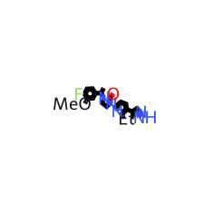 CCc1nc(N2CCN(C(C)c3ccc(F)c(OC)c3)C2=O)ccc1-c1cn[nH]c1